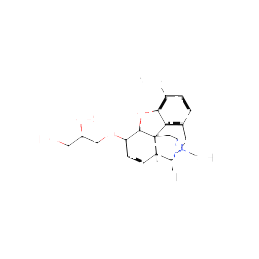 CC(=O)Oc1ccc2c3c1OC1C(OC[C@H](O)CO)C=C[C@H]4[C@@H](C2)N(C)CC[C@]314